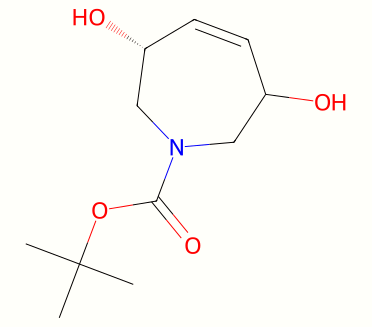 CC(C)(C)OC(=O)N1CC(O)C=C[C@@H](O)C1